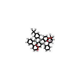 Cc1cc2c3c(c1)N(c1ccccc1-c1ccccc1)c1cc(C(C)(C)C)ccc1B3c1ccc(C(C)(C)C)cc1N2c1ccccc1-c1ccccc1